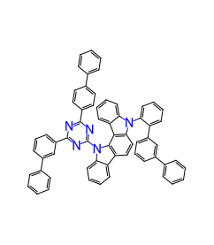 c1ccc(-c2ccc(-c3nc(-c4cccc(-c5ccccc5)c4)nc(-n4c5ccccc5c5ccc6c(c7ccccc7n6-c6ccccc6-c6cccc(-c7ccccc7)c6)c54)n3)cc2)cc1